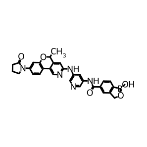 CC1Oc2cc(N3CCCC3=O)ccc2-c2cnc(Nc3cncc(NC(=O)c4ccc5c(c4)COB5O)c3)cc21